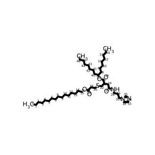 CCCCCCCCCCCCCCCCOC(=O)CCSCC(CC(=O)NCCCn1ccnc1)C(=O)OC(CCCCCCCC)CCCCCCCC